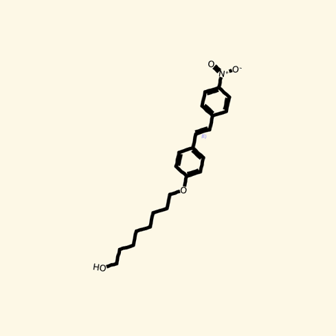 O=[N+]([O-])c1ccc(/C=C/c2ccc(OCCCCCCCCO)cc2)cc1